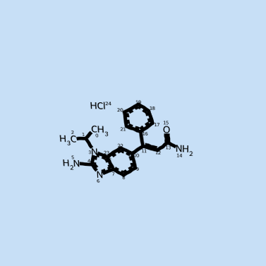 CC(C)n1c(N)nc2ccc(/C(=C/C(N)=O)c3ccccc3)cc21.Cl